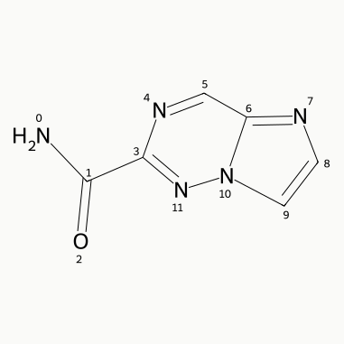 NC(=O)c1ncc2nccn2n1